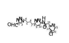 O=Cc1cn(CCCCc2ccc(NC(=O)Cc3cc(Cl)ccn3)nn2)nn1